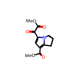 COC(=O)C(=O)c1cc(C(=O)OC)c2n1CCC2